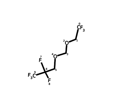 FC(F)(F)COCOCC(F)(F)C(F)(F)F